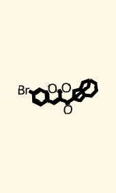 O=C(c1cc2ccc(Br)cc2oc1=O)C12CC3CCCC(C1)C(C3)C2